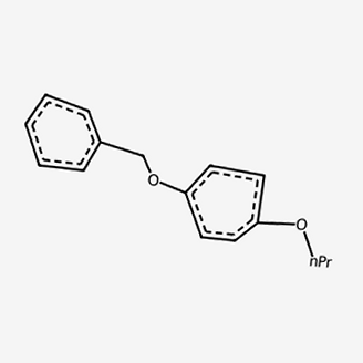 [CH2]CCOc1ccc(OCc2ccccc2)cc1